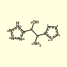 NC(c1cccs1)C(O)c1nnn[nH]1